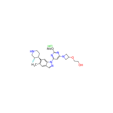 COc1nc(N2CC(OCCO)C2)cc(-n2ncc3cc(C)c([C@@H]4CCNC[C@@H]4F)cc32)n1.Cl